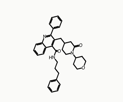 O=C(NCCCc1ccccc1)c1c(CC2CCN(C3CCOCC3)C(=O)C2)c(-c2ccccc2)nc2ccccc12